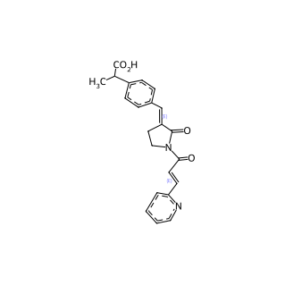 CC(C(=O)O)c1ccc(/C=C2\CCN(C(=O)/C=C/c3ccccn3)C2=O)cc1